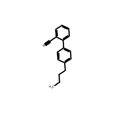 CCCCc1ccc(-c2ccccc2C#N)cc1